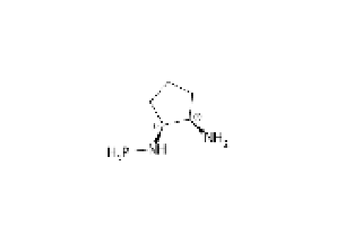 N[C@@H]1CCC[C@@H]1NP